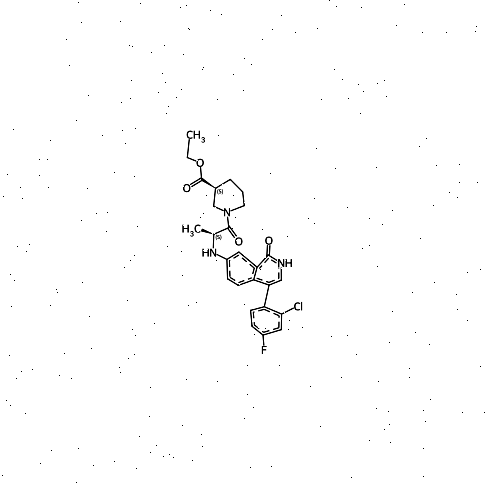 CCOC(=O)[C@H]1CCCN(C(=O)[C@H](C)Nc2ccc3c(-c4ccc(F)cc4Cl)c[nH]c(=O)c3c2)C1